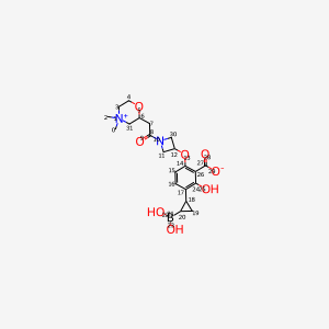 C[N+]1(C)CCOC(CC(=O)N2CC(Oc3ccc(C4CC4B(O)O)c(O)c3C(=O)[O-])C2)C1